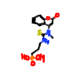 CN(C(=S)NCCCP(=O)(O)O)c1cc(=O)oc2ccccc12